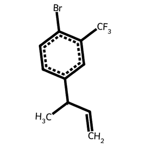 C=C[C](C)c1ccc(Br)c(C(F)(F)F)c1